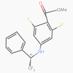 COC(=O)c1c(F)cc(N[C@H](c2ccccc2)C(F)(F)F)cc1F